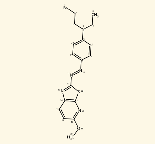 CCN(CCBr)c1ccc(N=Nc2nc3ccc(OC)nc3s2)cc1